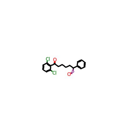 O=PC(CCCCC(=O)c1c(Cl)cccc1Cl)c1ccccc1